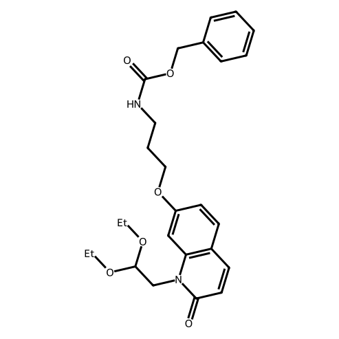 CCOC(Cn1c(=O)ccc2ccc(OCCCNC(=O)OCc3ccccc3)cc21)OCC